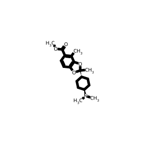 COC(=O)c1ccc2c(c1C)OC(C)([C@H]1CC[C@H](N(C)C)CC1)O2